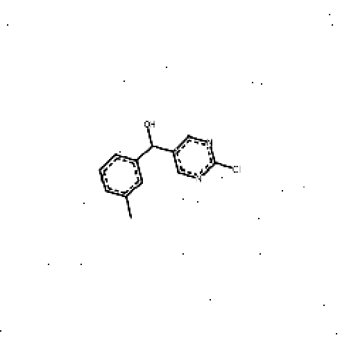 Cc1cccc(C(O)c2cnc(Cl)nc2)c1